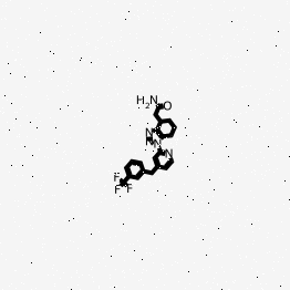 NC(=O)CC1CCCc2c1nnn2-c1cc(Cc2cccc(C(F)(F)F)c2)ccn1